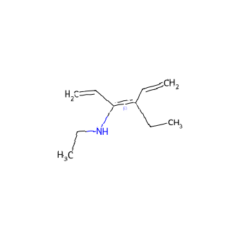 C=C/C(CC)=C(\C=C)NCC